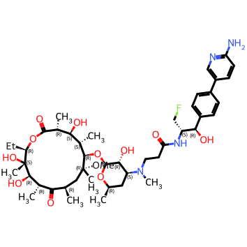 CC[C@H]1OC(=O)[C@H](C)[C@@H](O)[C@H](C)[C@@H](O[C@@H]2O[C@H](C)C[C@H](N(C)CCC(=O)N[C@H](CF)[C@H](O)c3ccc(-c4ccc(N)nc4)cc3)[C@H]2O)[C@](C)(OC)C[C@@H](C)C(=O)[C@H](C)[C@@H](O)[C@]1(C)O